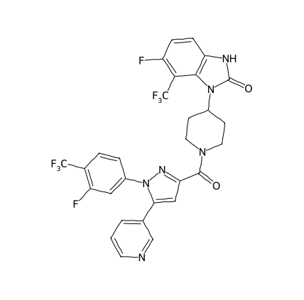 O=C(c1cc(-c2cccnc2)n(-c2ccc(C(F)(F)F)c(F)c2)n1)N1CCC(n2c(=O)[nH]c3ccc(F)c(C(F)(F)F)c32)CC1